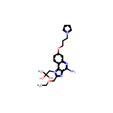 CCOCc1nc2c(N)nc3cc(OCCCn4cccc4)ccc3c2n1CC(C)(C)O